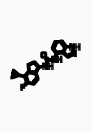 O=C(Nc1cccc2[nH]ncc12)NC1CCc2c1ccc(F)c2C1CC1